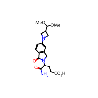 COC(OC)C1CN(c2ccc3c(c2)CN([C@@H](CCC(=O)O)C(N)=O)C3=O)C1